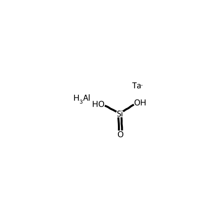 O=[Si](O)O.[AlH3].[Ta]